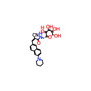 N#CC(=Cc1ccc2cc(N3CCCCC3)ccc2c1)C(=O)NC[C@H]1OC(O)[C@H](O)[C@@H](O)[C@H]1O